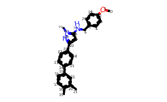 COc1ccc(CNc2cc(-c3ccc(-c4ccc(C)c(C)c4)cc3)nn2C)cc1